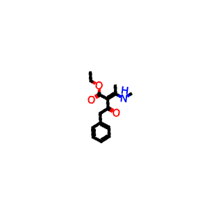 CCOC(=O)C(C(=O)Cc1ccccc1)=C(C)NC